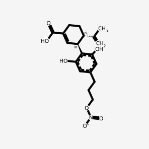 C=C(C)[C@H]1CCC(C(=O)O)=C[C@@H]1c1c(O)cc(CCCO[N+](=O)[O-])cc1O